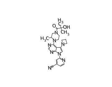 CC1CN(C(=O)C(C)(C)O)CCN1c1ncnc2c1c(N1CCC1)cn2-c1cc(C#N)ccn1